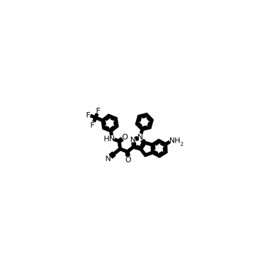 N#CC(C(=O)Nc1cccc(C(F)(F)F)c1)C(=O)c1nn(-c2ccccc2)c2c1Cc1ccc(N)cc1-2